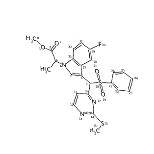 COC(=O)C(C)n1cc(C(c2ccnc(SC)n2)S(=O)(=O)c2ccccc2)c2cc(F)ccc21